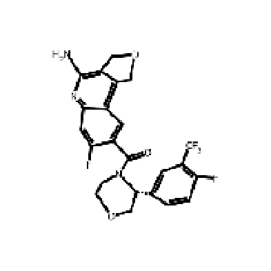 Nc1nc2cc(F)c(C(=O)N3CCOC[C@H]3c3ccc(F)c(C(F)(F)F)c3)cc2c2c1COC2